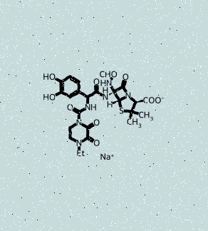 CCN1CCN(C(=O)NC(C(=O)N[C@]2(NC=O)C(=O)N3[C@@H](C(=O)[O-])C(C)(C)S[C@@H]32)c2ccc(O)c(O)c2)C(=O)C1=O.[Na+]